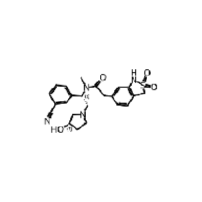 CN(C(=O)Cc1ccc2c(c1)NS(=O)(=O)C2)[C@H](CN1CC[C@@H](O)C1)c1cccc(C#N)c1